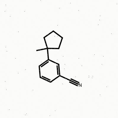 CC1(c2cccc(C#N)c2)CCCC1